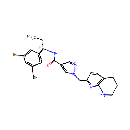 CC(C)(C)c1cc(Br)cc([C@H](CC(=O)O)NC(=O)c2cnn(Cc3ccc4c(n3)NCCC4)c2)c1